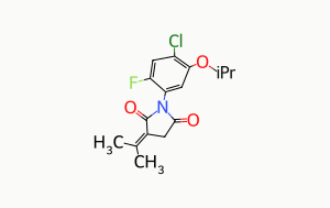 CC(C)=C1CC(=O)N(c2cc(OC(C)C)c(Cl)cc2F)C1=O